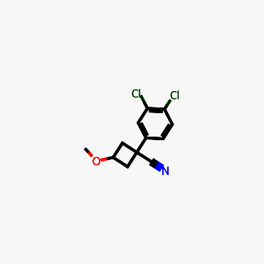 COC1CC(C#N)(c2ccc(Cl)c(Cl)c2)C1